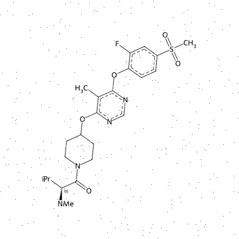 CN[C@H](C(=O)N1CCC(Oc2ncnc(Oc3ccc(S(C)(=O)=O)cc3F)c2C)CC1)C(C)C